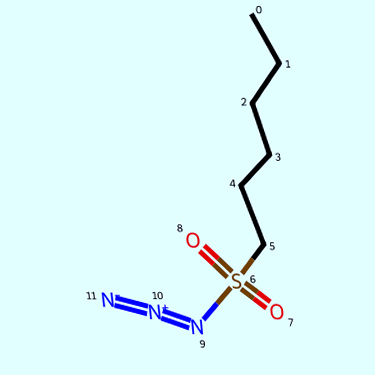 CCCCCCS(=O)(=O)N=[N+]=[N-]